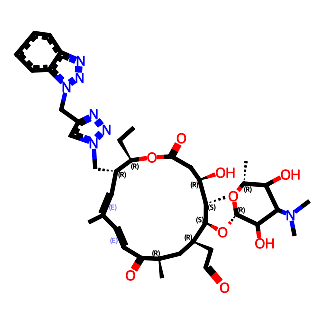 CC[C@H]1OC(=O)C[C@@H](O)[C@H](C)[C@@H](O[C@@H]2O[C@H](C)C(O)C(N(C)C)C2O)[C@@H](CC=O)C[C@@H](C)C(=O)/C=C/C(C)=C/[C@@H]1Cn1cc(Cn2nnc3ccccc32)nn1